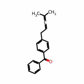 CC(C)=C=CCc1ccc(C(=O)c2ccccc2)cc1